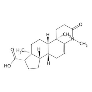 CN1C(=O)CC[C@@]2(C)C1=CC[C@@H]1[C@@H]3CC[C@H](C(=O)O)[C@@]3(C)CC[C@@H]12